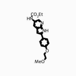 CCOC(=O)Nc1cnc2[nH]c(-c3ccc(OCCOC)cc3)cc2c1